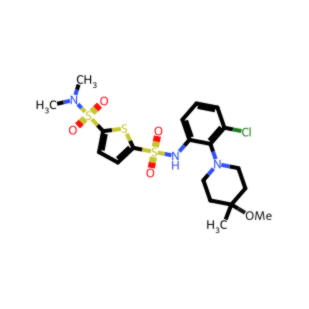 COC1(C)CCN(c2c(Cl)cccc2NS(=O)(=O)c2ccc(S(=O)(=O)N(C)C)s2)CC1